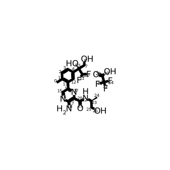 Cc1ccc([C@](O)(CO)C(F)F)cc1-c1cnc(N)c(C(=O)N[C@@H](C)CO)n1.O=C(O)C(F)(F)F